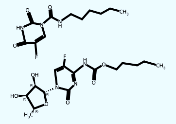 CCCCCCNC(=O)n1cc(F)c(=O)[nH]c1=O.CCCCCOC(=O)Nc1nc(=O)n([C@@H]2O[C@H](C)[C@@H](O)[C@H]2O)cc1F